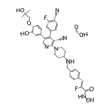 CC(C)(O)COc1ccc(-c2cnc(N3CCC(NCc4ccc(/C=C(\F)C(=O)NO)cc4)CC3)c(C#N)c2-c2ccc(C#N)c(F)c2)cc1O.O=CO